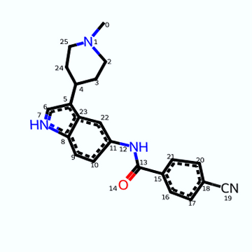 CN1CCC(c2c[nH]c3ccc(NC(=O)c4ccc(C#N)cc4)cc23)CC1